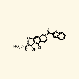 C[C@H](NC(O)c1c(Cl)cc2c(c1Cl)CCN(C(=O)c1cc3ccccn3n1)C2)C(=O)O